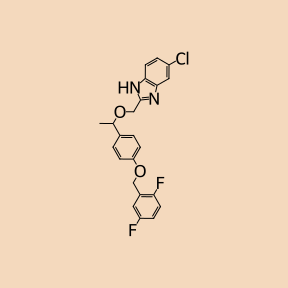 CC(OCc1nc2cc(Cl)ccc2[nH]1)c1ccc(OCc2cc(F)ccc2F)cc1